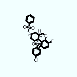 O=S(=O)(C[C@H]1CC[C@@]2(S(=O)(=O)c3ccc(Cl)cc3)c3c(F)ccc(F)c3OC[C@H]2C1)c1ccccc1